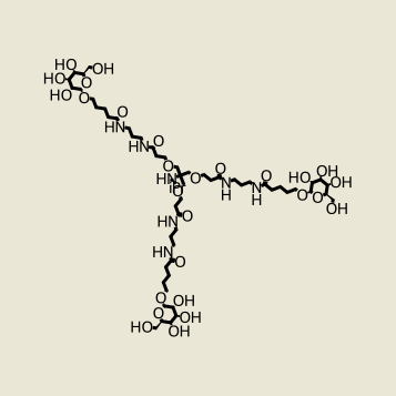 CC(C)NC(COCCC(=O)NCCCNC(=O)CCCCO[C@@H]1O[C@H](CO)[C@H](O)[C@H](O)[C@H]1O)(COCCC(=O)NCCCNC(=O)CCCCO[C@@H]1O[C@H](CO)[C@H](O)[C@H](O)[C@H]1O)COCCC(=O)NCCCNC(=O)CCCCO[C@@H]1O[C@H](CO)[C@H](O)[C@H](O)[C@H]1O